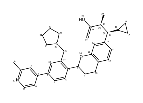 Cc1cc(-c2ccc(C3CCc4ccc([C@H](C5CC5)[C@H](C)C(=O)O)cc4O3)c(CN3CCCC3)c2)ccn1